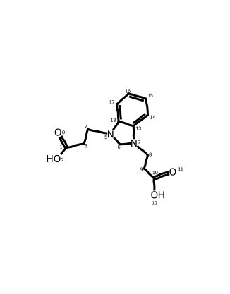 O=C(O)CCN1CN(CCC(=O)O)c2ccccc21